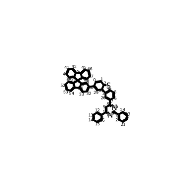 C1=CC2Sc3ccc(-c4cc(-c5ccccc5)nc(-c5ccccc5)n4)cc3C2C=C1c1ccc2c(c1)C1(c3ccccc3-c3ccccc31)c1ccccc1-2